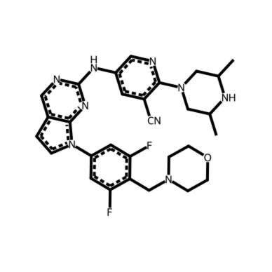 CC1CN(c2ncc(Nc3ncc4ccn(-c5cc(F)c(CN6CCOCC6)c(F)c5)c4n3)cc2C#N)CC(C)N1